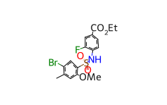 CCOC(=O)c1ccc(NS(=O)(=O)c2cc(Br)c(C)cc2OC)c(F)c1